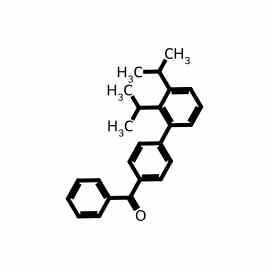 CC(C)c1cccc(-c2ccc(C(=O)c3ccccc3)cc2)c1C(C)C